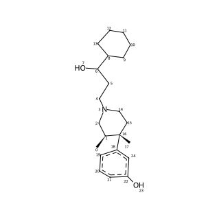 C[C@H]1CN(CCC(O)C2CCCCC2)CC[C@]1(C)c1cccc(O)c1